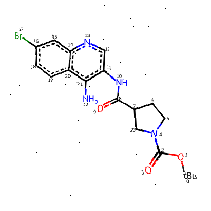 CC(C)(C)OC(=O)N1CCC(C(=O)Nc2cnc3cc(Br)ccc3c2N)C1